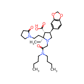 CCCCN(CCCC)C(=O)CN1C[C@H](c2ccc3c(c2)OCO3)[C@@H](C(=O)O)[C@]1(CC)CCN1CCCC1=O